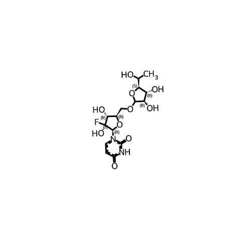 CC(O)[C@@H]1OC(OC[C@H]2O[C@@H](n3ccc(=O)[nH]c3=O)[C@@](O)(F)[C@@H]2O)[C@H](O)[C@H]1O